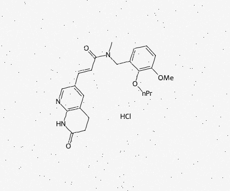 CCCOc1c(CN(C)C(=O)C=Cc2cnc3c(c2)CCC(=O)N3)cccc1OC.Cl